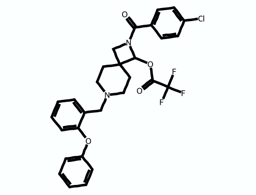 O=C(c1ccc(Cl)cc1)N1CC2(CCN(Cc3ccccc3Oc3ccccc3)CC2)C1OC(=O)C(F)(F)F